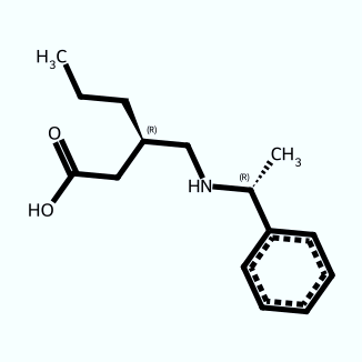 CCC[C@@H](CN[C@H](C)c1ccccc1)CC(=O)O